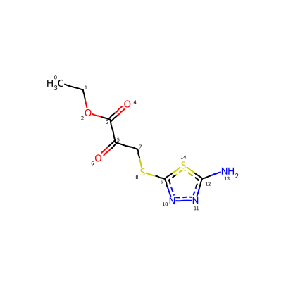 CCOC(=O)C(=O)CSc1nnc(N)s1